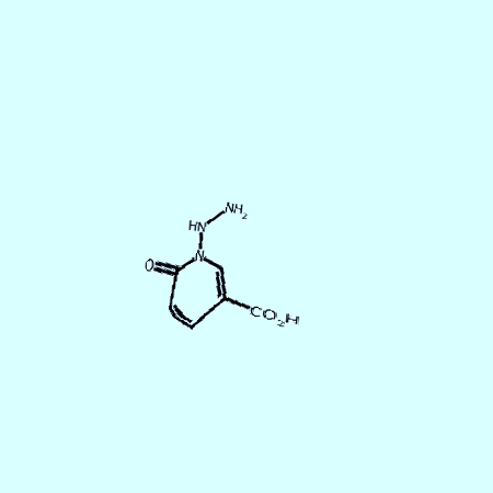 NNn1cc(C(=O)O)ccc1=O